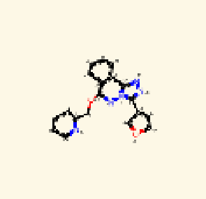 c1ccc(COc2nn3c(-c4ccoc4)nnc3c3ccccc23)nc1